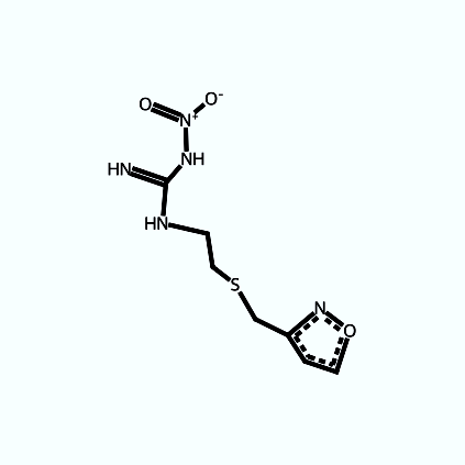 N=C(NCCSCc1ccon1)N[N+](=O)[O-]